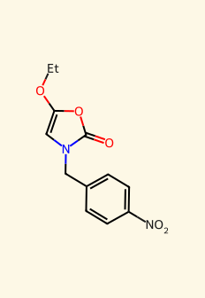 CCOc1cn(Cc2ccc([N+](=O)[O-])cc2)c(=O)o1